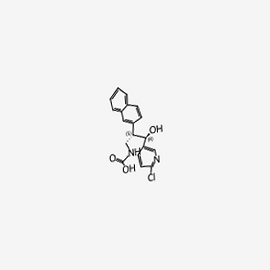 O=C(O)NC[C@H](c1ccc2ccccc2c1)[C@@H](O)c1ccc(Cl)nc1